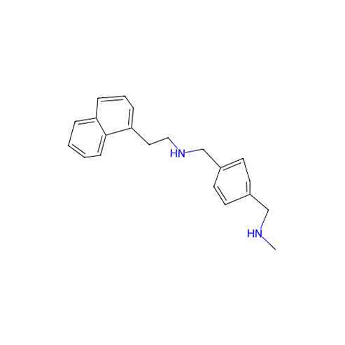 CNCc1ccc(CNCCc2cccc3ccccc23)cc1